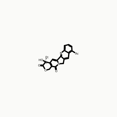 CC[C@@]1(O)C(=O)OCc2c1cc1n(c2=O)Cc2cc3c(C(C)=O)cccc3nc2-1